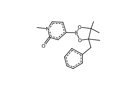 Cn1ccc(B2OC(C)(C)C(C)(Cc3ccccc3)O2)cc1=O